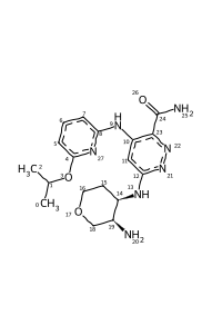 CC(C)Oc1cccc(Nc2cc(N[C@@H]3CCOC[C@@H]3N)nnc2C(N)=O)n1